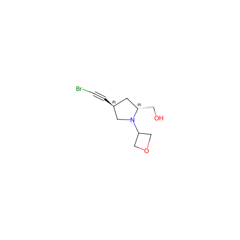 OC[C@H]1C[C@H](C#CBr)CN1C1COC1